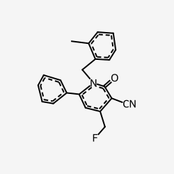 Cc1ccccc1Cn1c(-c2ccccc2)cc(CF)c(C#N)c1=O